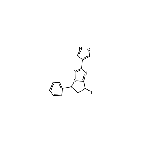 FC1CC(c2ccccc2)n2nc(-c3cnoc3)nc21